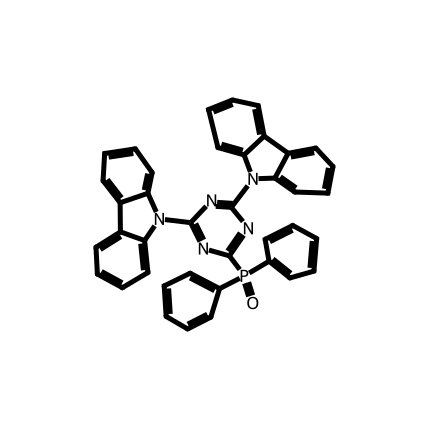 O=P(c1ccccc1)(c1ccccc1)c1nc(-n2c3ccccc3c3ccccc32)nc(-n2c3ccccc3c3ccccc32)n1